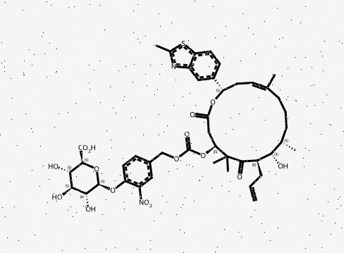 C=CC[C@H]1C(=O)C(C)(C)[C@@H](OC(=O)OCc2ccc(O[C@@H]3O[C@H](C(=O)O)[C@@H](O)[C@H](O)[C@H]3O)c([N+](=O)[O-])c2)CC(=O)O[C@H](c2ccc3sc(C)nc3c2)CC=C(C)CCC[C@H](C)[C@@H]1O